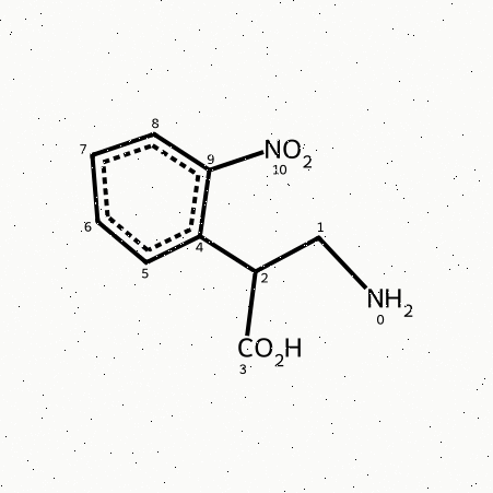 NCC(C(=O)O)c1ccccc1[N+](=O)[O-]